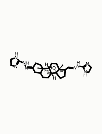 C[C@]12CCC(=NNC3=NCCN3)CC1CC[C@@H]1[C@H]2CC[C@]2(C)C(C=NNC3=NCCN3)CC[C@@]12O